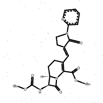 CC(C)(C)OC(=O)N[C@@H]1C(=O)N2C(C(=O)OC(C)(C)C)=C(/C=C3\CCN(c4ccccn4)C3=O)CC[C@H]12